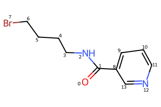 O=C(NCCCCBr)c1cccnc1